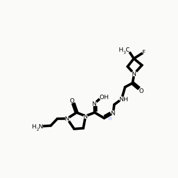 CC1(F)CN(C(=O)CNC/N=C\C(=NO)N2CCN(CCN)C2=O)C1